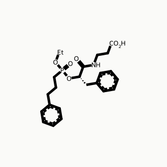 CCOP(=O)(CCCc1ccccc1)O[C@@H](Cc1ccccc1)C(=O)NCCC(=O)O